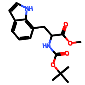 COC(=O)C(Cc1cccc2cc[nH]c12)NC(=O)OC(C)(C)C